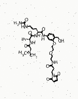 CC(C)[C@H](NC(=O)CN(C)C)C(=O)N[C@@H](CCCNC(N)=O)C(=O)Nc1ccc(CO)c(OCCOCCNC(=O)CCN2C(=O)C=CC2=O)c1